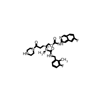 Cc1c(F)cccc1CNC(=O)N(C)[C@@H](CCC(=O)N1CCNCC1)COC(=O)Nc1cc2cc(F)ccc2cn1